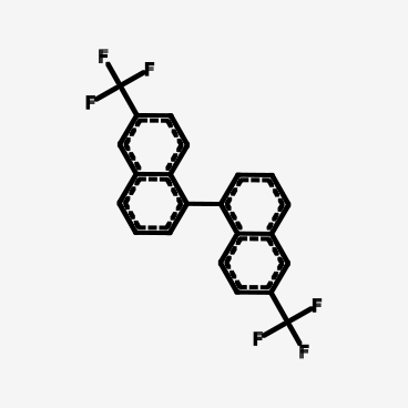 FC(F)(F)c1ccc2c(-c3cccc4cc(C(F)(F)F)ccc34)cccc2c1